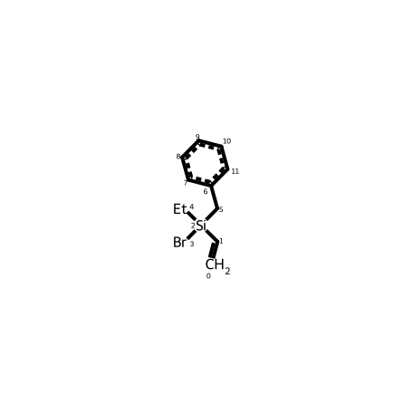 C=C[Si](Br)(CC)Cc1ccccc1